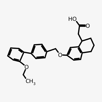 CCOc1ccccc1-c1ccc(COc2ccc3c(c2)C(CC(=O)O)CCC3)cc1